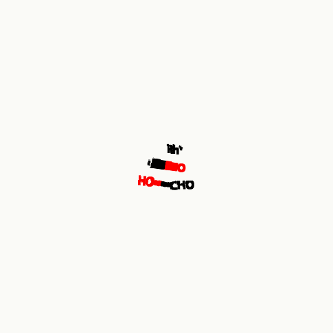 O=[C-]O.[C]=O.[Rh+]